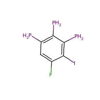 Fc1cc(P)c(P)c(P)c1I